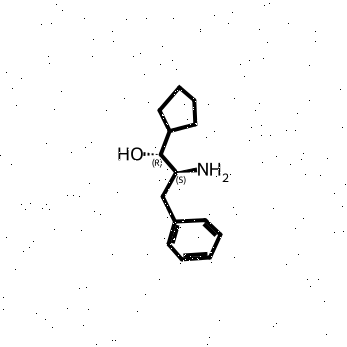 N[C@@H](Cc1ccccc1)[C@H](O)C1CCCC1